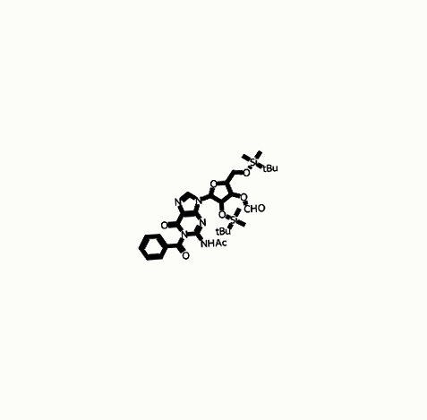 CC(=O)Nc1nc2c(ncn2C2OC(CO[Si](C)(C)C(C)(C)C)C(OC=O)C2O[Si](C)(C)C(C)(C)C)c(=O)n1C(=O)c1ccccc1